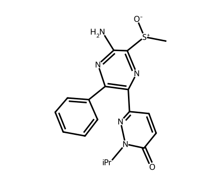 CC(C)n1nc(-c2nc([S+](C)[O-])c(N)nc2-c2ccccc2)ccc1=O